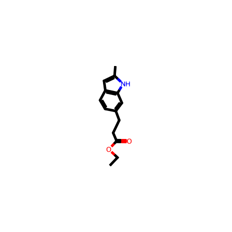 CCOC(=O)CCc1ccc2cc(C)[nH]c2c1